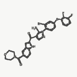 Nc1c(C(=O)c2cc3cc(C(=O)N4CCOCC4)ccc3[nH]2)cnn1-c1ccc(Oc2cccc(F)c2F)cc1Br